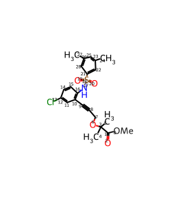 COC(=O)C(C)(C)OCC#Cc1cc(Cl)ccc1NS(=O)(=O)c1cc(C)cc(C)c1